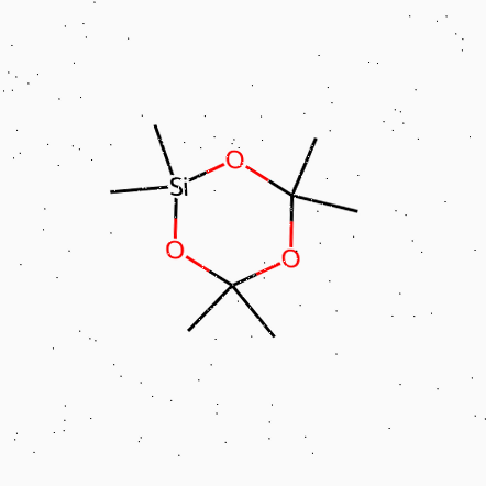 CC1(C)OC(C)(C)O[Si](C)(C)O1